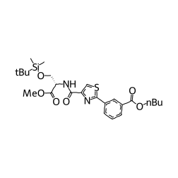 CCCCOC(=O)c1cccc(-c2nc(C(=O)N[C@@H](CO[Si](C)(C)C(C)(C)C)C(=O)OC)cs2)c1